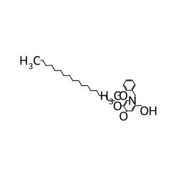 CCCCCCCCCCCCCCCCCCOc1cn(Cc2ccccc2OC)c(CO)cc1=O